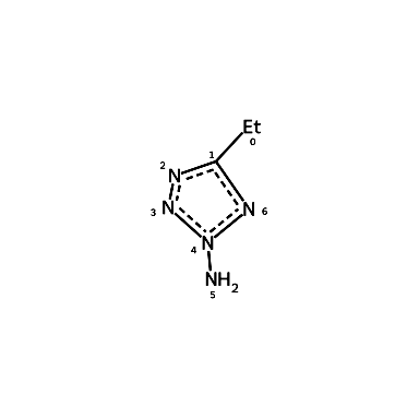 CCc1nnn(N)n1